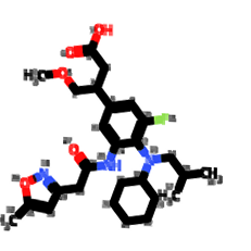 COCC(CC(=O)O)c1cc(F)c(N(CC(C)C)C2CCCCC2)c(NC(=O)Cc2cc(C)on2)c1